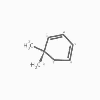 [CH2][C@@]1(C)C=CC=CC1